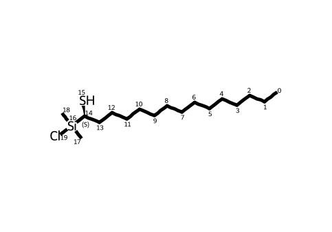 CCCCCCCCCCCCCC[C@H](S)[Si](C)(C)Cl